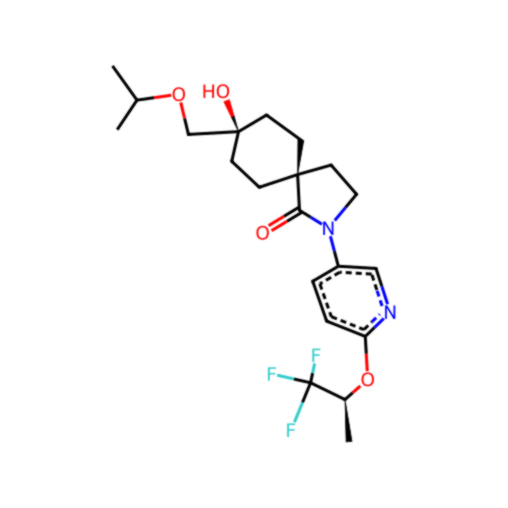 CC(C)OC[C@]1(O)CC[C@]2(CCN(c3ccc(O[C@@H](C)C(F)(F)F)nc3)C2=O)CC1